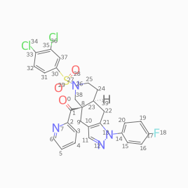 O=C(c1ccccn1)[C@]12Cc3cnn(-c4ccc(F)cc4)c3C[C@@H]1CCN(S(=O)(=O)c1ccc(Cl)c(Cl)c1)C2